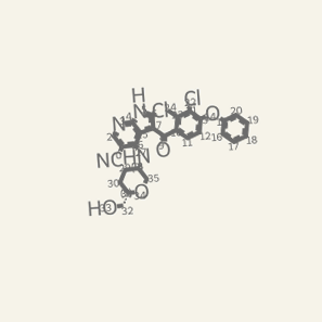 N#Cc1cnc2[nH]cc(C(=O)c3ccc(Oc4ccccc4)c(Cl)c3Cl)c2c1N[C@@H]1CC[C@@H](CO)OC1